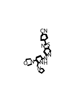 N#Cc1ccc(-c2nc3cc(Nc4ccc(N5CCOCC5)c(CN5CCCC5)n4)ncc3s2)cc1